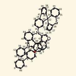 c1ccc(-c2ccc(-c3ccc4occ(N(c5ccc6c(c5)C5(c7ccccc7Sc7ccccc75)c5ccccc5-6)c5cccc6c5c5ccccc5n6-c5ccccc5)c4c3)cc2)cc1